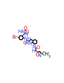 Cc1cc(CC(=O)Nc2cccc3cc(C(=O)Nc4ccc(Br)cc4-c4noc(=O)[nH]4)[nH]c23)on1